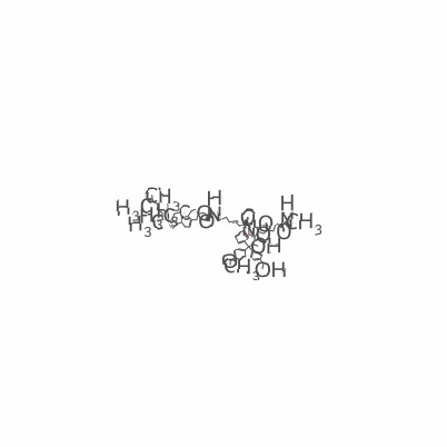 CNC(=O)CCC(=O)OC1CN(C(=O)CCCCCNC(=O)OC2CC[C@@]3(C)C(=CCC4C3CC[C@@]3(C)C4CC[C@@H]3C(C)CCCC(C)C)C2)CC1C(O)C(c1ccccc1)(c1ccc(CO)cc1)c1ccc(OC)cc1